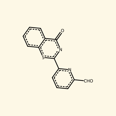 O=Cc1cccc(-c2nc(=O)c3ccccc3s2)n1